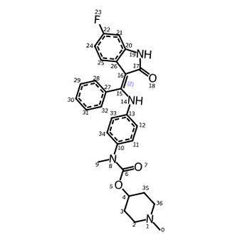 CN1CCC(OC(=O)N(C)c2ccc(N/C(=C3\C(=O)Nc4cc(F)ccc43)c3ccccc3)cc2)CC1